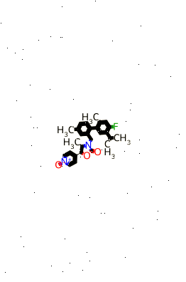 Cc1ccc(-c2cc(C(C)C)c(F)cc2C)c(CN2C(=O)O[C@H](c3cc[n+]([O-])cc3)[C@@H]2C)c1